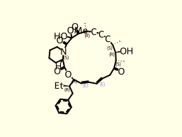 CC[C@H](Cc1ccccc1)[C@@H]1/C=C/C=C/CC(=O)[C@@H](C)[C@H](O)[C@@H](C)CCC[C@@H](C)C(=O)C(O)(OC)C(=O)N2CCCC[C@H]2C(=O)O1